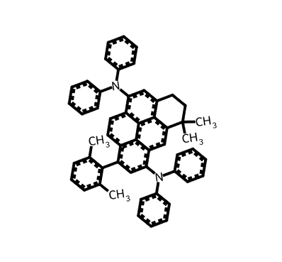 Cc1cccc(C)c1-c1cc(N(c2ccccc2)c2ccccc2)c2cc3c4c(cc(N(c5ccccc5)c5ccccc5)c5ccc1c2c54)CCC3(C)C